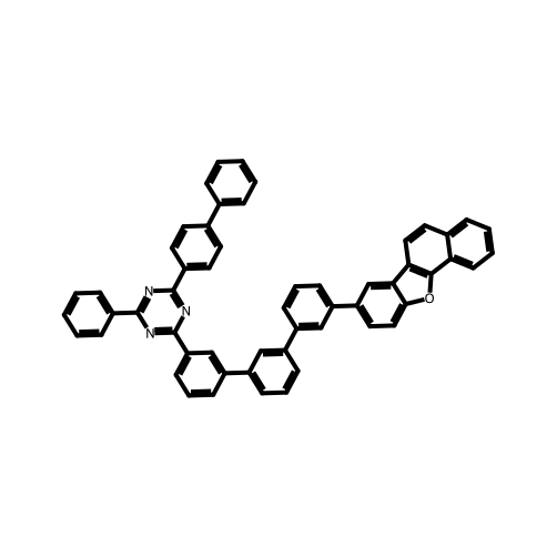 c1ccc(-c2ccc(-c3nc(-c4ccccc4)nc(-c4cccc(-c5cccc(-c6cccc(-c7ccc8oc9c%10ccccc%10ccc9c8c7)c6)c5)c4)n3)cc2)cc1